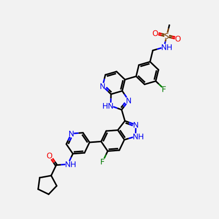 CS(=O)(=O)NCc1cc(F)cc(-c2ccnc3[nH]c(-c4n[nH]c5cc(F)c(-c6cncc(NC(=O)C7CCCC7)c6)cc45)nc23)c1